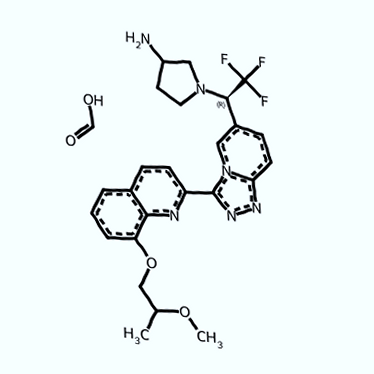 COC(C)COc1cccc2ccc(-c3nnc4ccc([C@@H](N5CCC(N)C5)C(F)(F)F)cn34)nc12.O=CO